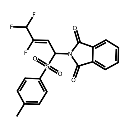 Cc1ccc(S(=O)(=O)C(C=C(F)C(F)F)N2C(=O)c3ccccc3C2=O)cc1